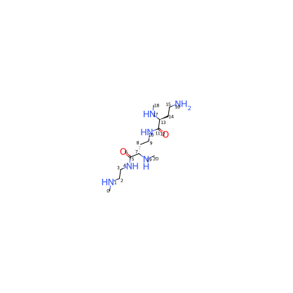 CNCCNC(=O)[C@H](CCNC(=O)[C@H](CCN)NC)NC